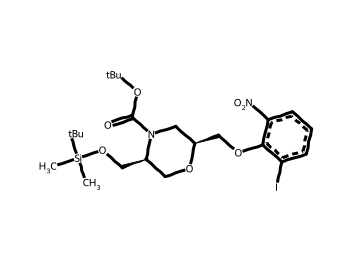 CC(C)(C)OC(=O)N1C[C@@H](COc2c(I)cccc2[N+](=O)[O-])OC[C@H]1CO[Si](C)(C)C(C)(C)C